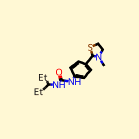 CCC(CC)NC(=O)Nc1ccc(C2SCCN2C)cc1